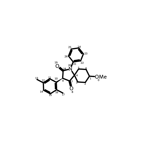 COC1CCC2(CC1)C(=O)[C@@H](c1cc(C)ccc1C)C(=O)N2c1ccccc1